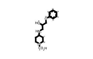 O=C(O)N1CCC(NCC(O)COc2ccccc2)CC1